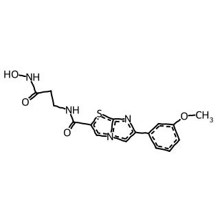 COc1cccc(-c2cn3cc(C(=O)NCCC(=O)NO)sc3n2)c1